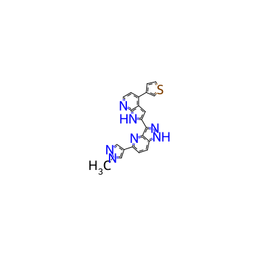 Cn1cc(-c2ccc3[nH]nc(-c4cc5c(-c6ccsc6)ccnc5[nH]4)c3n2)cn1